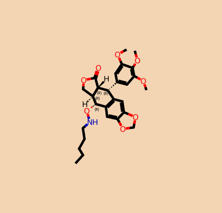 CCCCCNO[C@H]1c2cc3c(cc2[C@@H](c2cc(OC)c(OC)c(OC)c2)[C@H]2C(=O)OC[C@@H]21)OCO3